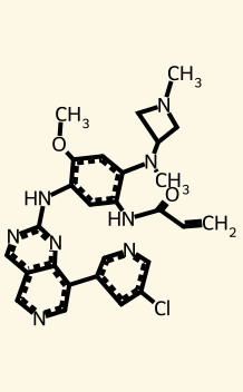 C=CC(=O)Nc1cc(Nc2ncc3cncc(-c4cncc(Cl)c4)c3n2)c(OC)cc1N(C)C1CN(C)C1